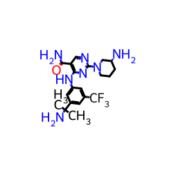 CC(C)(N)c1cc(Nc2nc(N3CCC[C@H](N)C3)ncc2C(N)=O)cc(C(F)(F)F)c1